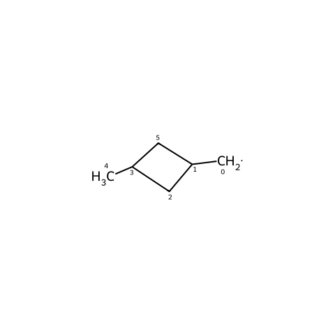 [CH2]C1CC(C)C1